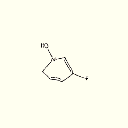 ON1C=C(F)C=CC1